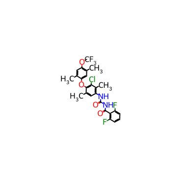 Cc1cc(OC(F)(F)F)c(C)cc1Oc1c(C)cc(NC(=O)NC(=O)c2c(F)cccc2F)c(C)c1Cl